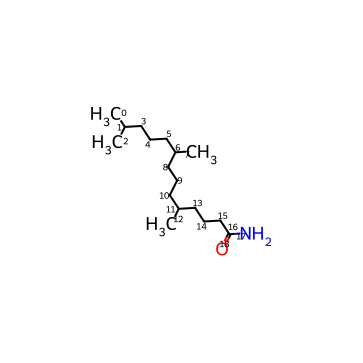 CC(C)CCCC(C)CCCC(C)CCCC(N)=O